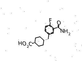 NC(=O)c1cc(C[C@H]2CC[C@H](C(=O)O)CC2)ccc1F